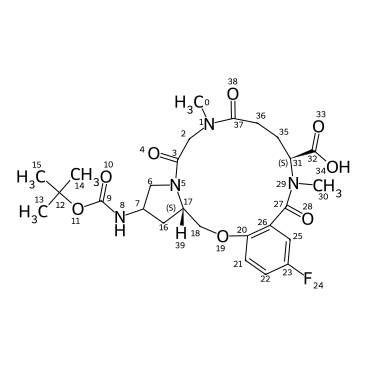 CN1CC(=O)N2CC(NC(=O)OC(C)(C)C)C[C@H]2COc2ccc(F)cc2C(=O)N(C)[C@H](C(=O)O)CCC1=O